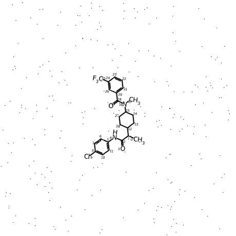 CC(C(=O)Nc1ccc(Cl)cc1)C1CCC(N(C)C(=O)c2cccc(C(F)(F)F)c2)CC1